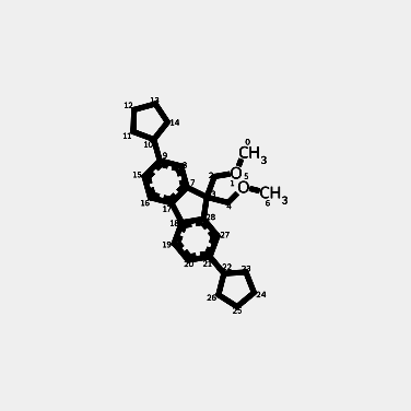 COCC1(COC)c2cc(C3CCCC3)ccc2-c2ccc(C3CCCC3)cc21